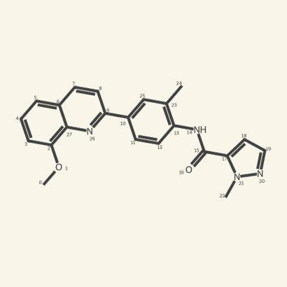 COc1cccc2ccc(-c3ccc(NC(=O)c4ccnn4C)c(C)c3)nc12